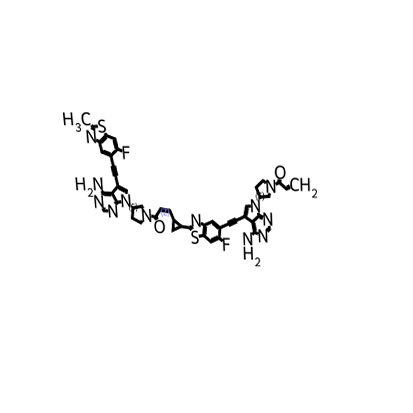 C=CC(=O)N1CC[C@H](n2cc(C#Cc3cc4nc(C5CC5/C=C\C(=O)N5CC[C@H](n6cc(C#Cc7cc8nc(C)sc8cc7F)c7c(N)ncnc76)C5)sc4cc3F)c3c(N)ncnc32)C1